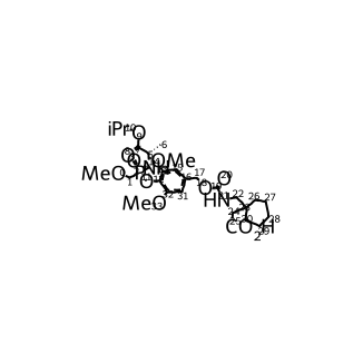 COCP(=O)(N[C@@H](C)C(=O)OC(C)C)Oc1c(OC)cc(COC(=O)NCC2(CC(=O)O)CCCCC2)cc1OC